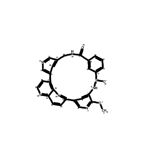 COc1ncc2cc1N[S+]([O-])c1cccc(c1)C(=O)NCc1cncc(c1)-c1ccnc3ccc-2nc13